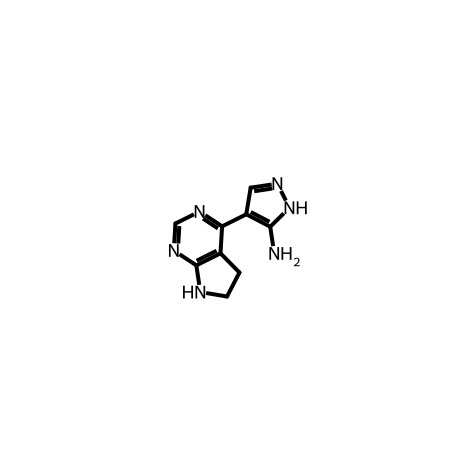 Nc1[nH]ncc1-c1ncnc2c1CCN2